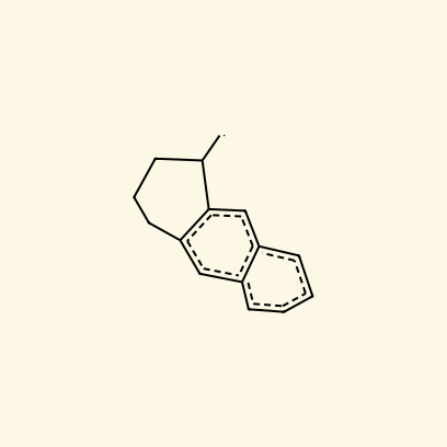 [CH2]C1CCCc2cc3ccccc3cc21